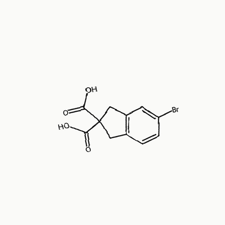 O=C(O)C1(C(=O)O)Cc2ccc(Br)cc2C1